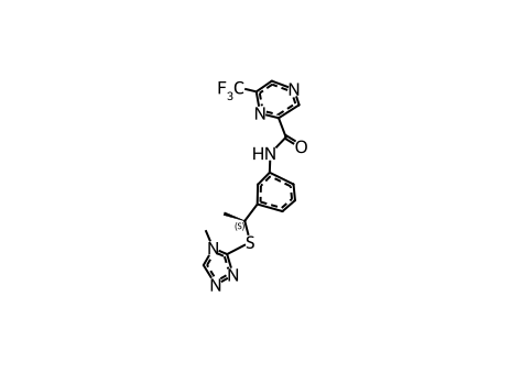 C[C@H](Sc1nncn1C)c1cccc(NC(=O)c2cncc(C(F)(F)F)n2)c1